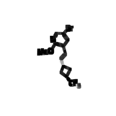 COc1ncc(Br)cc1/C=C/[C@H]1C[C@H](C(F)(F)F)C1